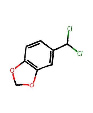 Cl[C](Cl)c1ccc2c(c1)OCO2